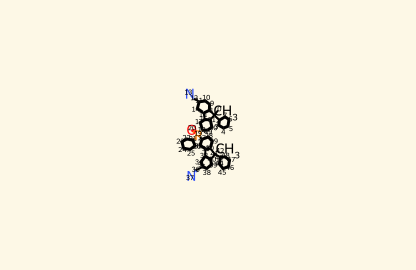 CC1(c2ccccc2)c2ccc(C#N)cc2-c2cc(P(=O)(c3ccccc3)c3ccc4c(c3)-c3cc(C#N)ccc3C4(C)c3ccccc3)ccc21